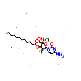 CCCCCCCCCCCC(=O)O[C@H]1[C@@H](F)[C@H](n2ccc(N)nc2=O)O[C@@]1(CO)CCl